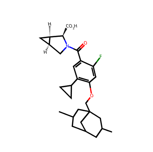 CC1CC2CC(C)CC(COc3cc(F)c(C(=O)N4C[C@H]5C[C@H]5[C@H]4C(=O)O)cc3C3CC3)(C1)C2